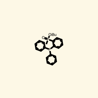 CC(C)COP(C)(=O)c1ccccc1P(c1ccccc1)c1ccccc1